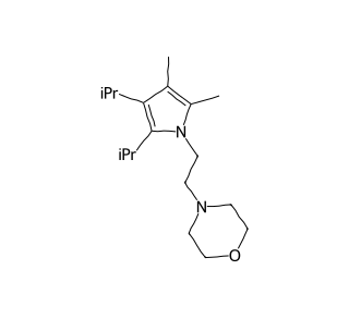 Cc1c(C(C)C)c(C(C)C)n(CCN2CCOCC2)c1C